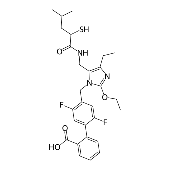 CCOc1nc(CC)c(CNC(=O)C(S)CC(C)C)n1Cc1cc(F)c(-c2ccccc2C(=O)O)cc1F